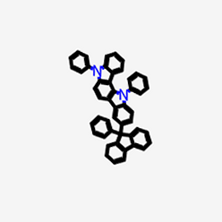 C1=CC2=C(CC1)C(c1ccccc1)(c1ccc3c(c1)c1ccc4c(c5ccccc5n4-c4ccccc4)c1n3-c1ccccc1)c1ccccc12